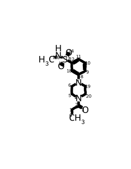 CCC(=O)N1CCN(c2cccc(S(=O)(=O)NC)c2)CC1